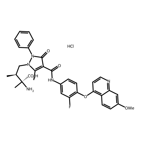 COc1ccc2c(Oc3ccc(NC(=O)c4c(C)n(C[C@H](C)[C@](C)(N)C(=O)O)n(-c5ccccc5)c4=O)cc3F)ccnc2c1.Cl